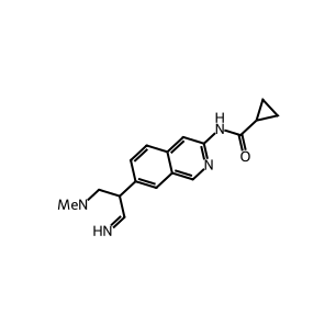 CNCC(C=N)c1ccc2cc(NC(=O)C3CC3)ncc2c1